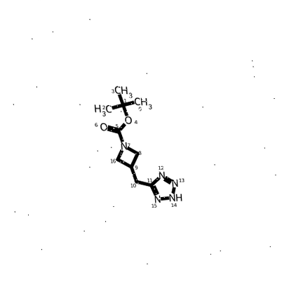 CC(C)(C)OC(=O)N1CC(Cc2nn[nH]n2)C1